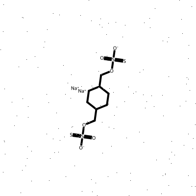 O=S([O-])(=S)OCC1CCC(COS(=O)([O-])=S)CC1.[Na+].[Na+]